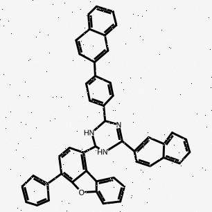 c1ccc(-c2ccc(C3NC(c4ccc5ccccc5c4)=NC(c4ccc(-c5ccc6ccccc6c5)cc4)N3)c3c2oc2ccccc23)cc1